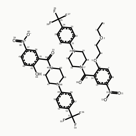 CCOCCOc1ccc([N+](=O)[O-])cc1C(=O)N1CCN(c2ccc(C(F)(F)F)cc2)CC1.O=C(c1cc([N+](=O)[O-])ccc1O)N1CCN(c2ccc(C(F)(F)F)cc2)CC1